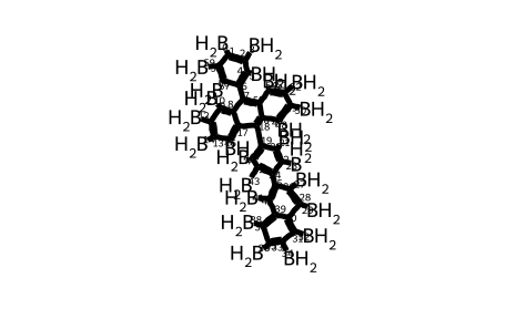 Bc1c(B)c(B)c(-c2c3c(B)c(B)c(B)c(B)c3c(-c3c(B)c(B)c(-c4c(B)c(B)c5c(B)c(B)c(B)c(B)c5c4B)c(B)c3B)c3c(B)c(B)c(B)c(B)c23)c(B)c1B